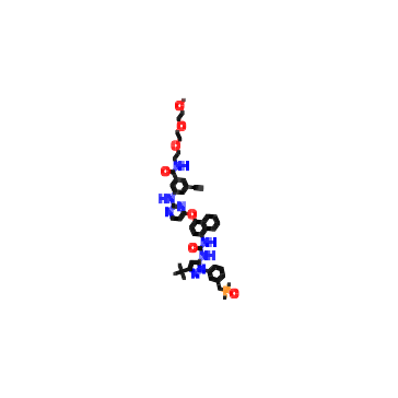 C#Cc1cc(Nc2nccc(Oc3ccc(NC(=O)Nc4cc(C(C)(C)C)nn4-c4cccc(CP(C)(C)=O)c4)c4ccccc34)n2)cc(C(=O)NCCOCCOCCOC)c1